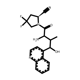 CC(C(N)C(=O)N1CC(F)(F)C[C@H]1C#N)C(O)c1ccnc2ccccc12